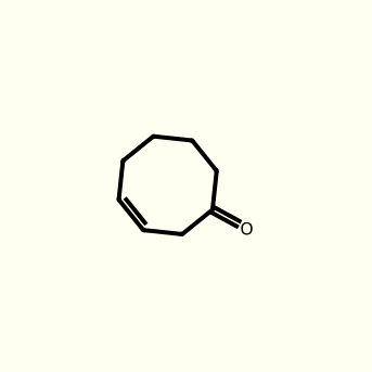 O=C1CC=CCCCC1